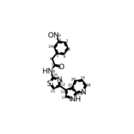 O=Nc1cccc(CC(=O)Nc2nc(-c3c[nH]c4ncccc34)cs2)c1